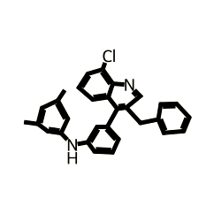 Cc1cc(C)cc(Nc2cccc(-c3c(Cc4ccccc4)cnc4c(Cl)cccc34)c2)c1